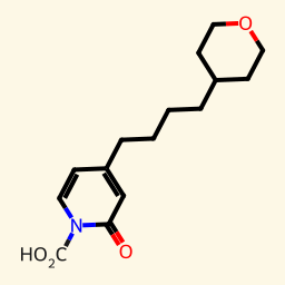 O=C(O)n1ccc(CCCCC2CCOCC2)cc1=O